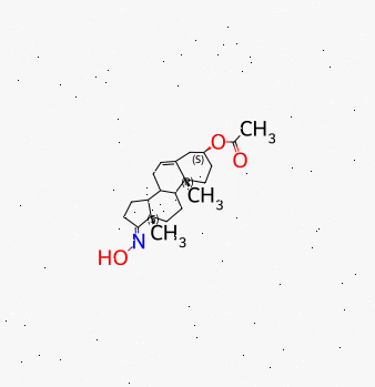 CC(=O)O[C@H]1CC[C@@]2(C)C(=CCC3C2CC[C@]2(C)C(=NO)CCC32)C1